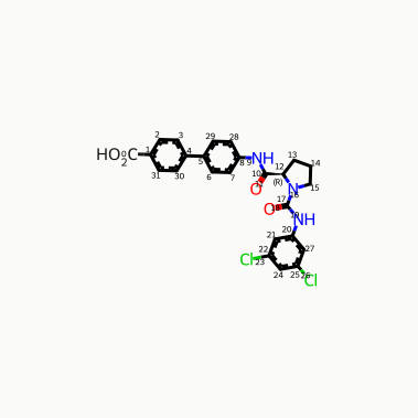 O=C(O)c1ccc(-c2ccc(NC(=O)[C@H]3CCCN3C(=O)Nc3cc(Cl)cc(Cl)c3)cc2)cc1